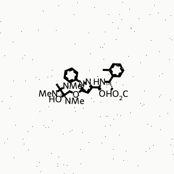 CNC(C)(NC)[C@](O)(COc1cc(C(=O)N[C@@H](CC(=O)O)c2ccccc2C)nn1-c1ccccc1)NC